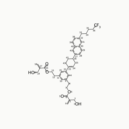 C=C(CO)C(=O)OCCc1cc(CCOC(=O)C(=C)CO)cc(C2=CCC(c3ccc4cc(CCCCC(F)(F)F)ccc4c3)CC2)c1